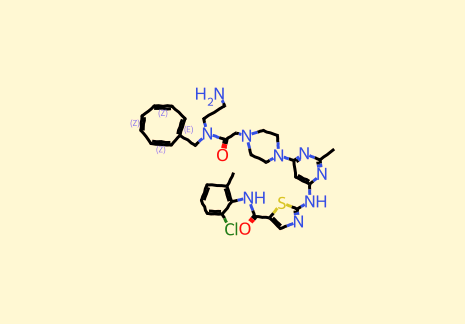 Cc1nc(Nc2ncc(C(=O)Nc3c(C)cccc3Cl)s2)cc(N2CCN(CC(=O)N(CCN)CC3=C/C=C\C=C/C=C\3)CC2)n1